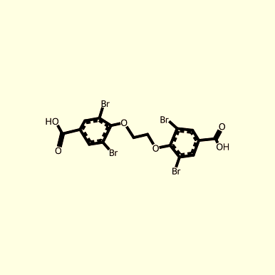 O=C(O)c1cc(Br)c(OCCOc2c(Br)cc(C(=O)O)cc2Br)c(Br)c1